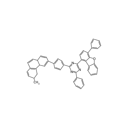 CC1C=CC2=C(C1)C1C=C(c3ccc(-c4nc(-c5ccccc5)nc(-c5ccc(-c6ccccc6)c6oc7ccccc7c56)n4)cc3)C=CC1C=C2